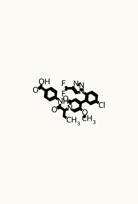 CCC(C(=O)Nc1ccc(C(=O)O)cc1)n1cc(OC)c(-c2cc(Cl)ccc2-n2cc(C(F)F)nn2)cc1=O